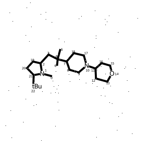 CN1C(CC(C)(C)C2CCN(C3CCOCC3)CC2)CCC1C(C)(C)C